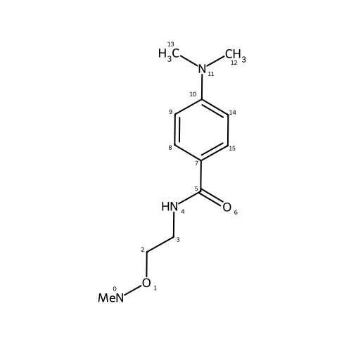 CNOCCNC(=O)c1ccc(N(C)C)cc1